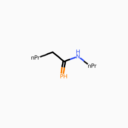 CCCCC(=P)NCCC